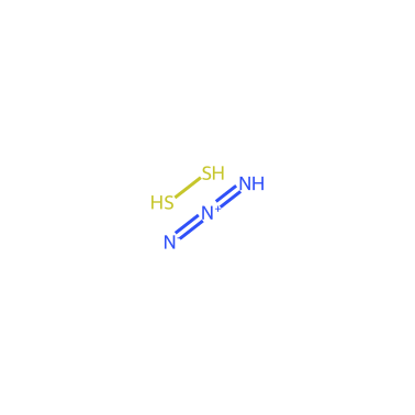 SS.[N-]=[N+]=N